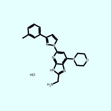 Cc1cccc(-c2ccn(-c3cc(N4CCOCC4)c4nc(CN)[nH]c4n3)n2)c1.Cl